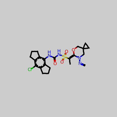 C=NN1CC2(CC2)CO/C1=C(/C)S(=O)(=O)NC(=O)Nc1c2c(c(Cl)c3c1CCC3)CCC2